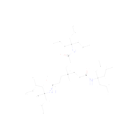 CCCC(CCC)(CCC)NC(=O)CCC(C)(CCC(=O)NC(CCC)(CCC)CCC)CCC(=O)NC(CCC)(CCC)CCC